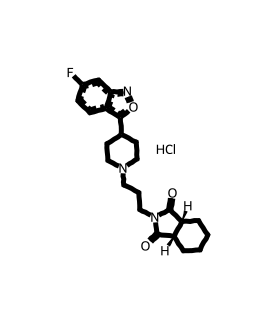 Cl.O=C1[C@H]2CCCC[C@H]2C(=O)N1CCCN1CCC(c2onc3cc(F)ccc23)CC1